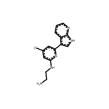 NCCNc1cc(Cl)cc(-c2c[nH]c3ncccc23)n1